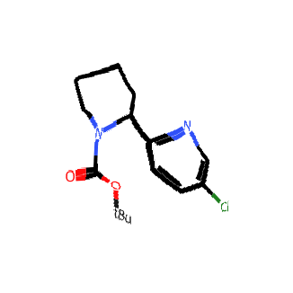 CC(C)(C)OC(=O)N1CCCCC1c1ccc(Cl)cn1